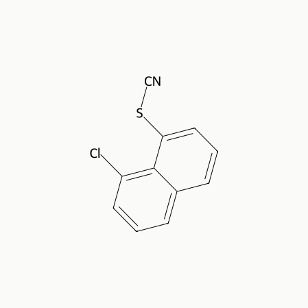 N#CSc1cccc2cccc(Cl)c12